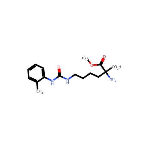 Cc1ccccc1NC(=O)NCCCCC(N)(C(=O)O)C(=O)OC(C)(C)C